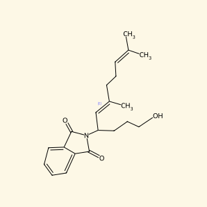 CC(C)=CCC/C(C)=C/C(CCCO)N1C(=O)c2ccccc2C1=O